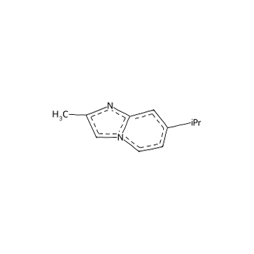 Cc1cn2ccc(C(C)C)cc2n1